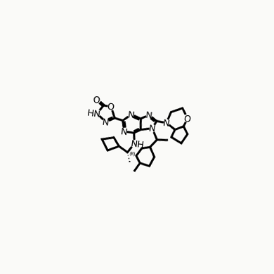 CC1CCC(C(C)n2c(N3CCOC4CCCC43)nc3nc(-c4n[nH]c(=O)o4)nc(N[C@H](C)C4CCC4)c32)CC1